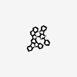 c1ccc(-c2nc(-n3c4c5ccccc5ccc4c4cc5c6ccccc6n6c7ccccc7c(c43)c56)c3sc4ccccc4c3n2)cc1